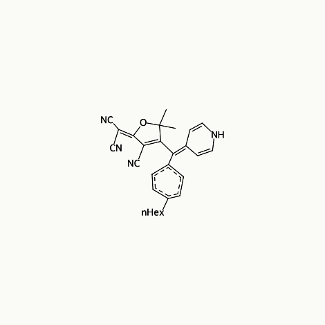 CCCCCCc1ccc(C(=C2C=CNC=C2)C2=C(C#N)C(=C(C#N)C#N)OC2(C)C)cc1